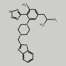 Cc1cc(CC(C)C)cc(N2CCN(Cc3nc4ccccc4s3)CC2)c1-c1nn[nH]n1